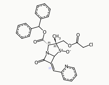 C[C@]1(COC(=O)CCl)[C@@H](C(=O)OC(c2ccccc2)c2ccccc2)N2C(=O)/C(=C/c3ccccn3)C2[S+]1[O-]